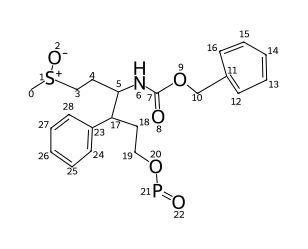 C[S+]([O-])CCC(NC(=O)OCc1ccccc1)C(CCOP=O)c1ccccc1